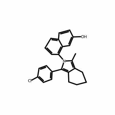 Cc1c2c(c(-c3ccc(Cl)cc3)n1-c1cccc3ccc(O)cc13)CCCC2